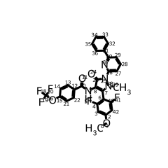 COc1cc(F)c(-c2c(NC(=O)c3ccc(OC(F)(F)F)cc3)c(=O)n(-c3cccc(-c4ccccc4)n3)n2C)c(F)c1